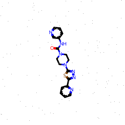 O=C(Nc1cccnc1)N1CCN(c2nnc(-c3ccccn3)s2)CC1